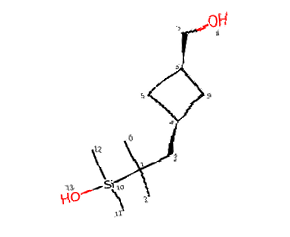 CC(C)(C[C@H]1C[C@@H](CO)C1)[Si](C)(C)O